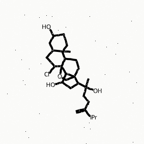 C=C(CCC(C)(O)C1CC(O)C2C13CCC1C4(C)CCC(O)CC4CC(Cl)C12OC3)C(C)C